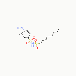 CCCCCCCCS(=O)(=O)NS(=O)(=O)C1=CC(C)[C@H](N)C=C1